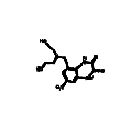 O=c1[nH]c2cc([N+](=O)[O-])cc(CN(CCO)CCO)c2[nH]c1=O